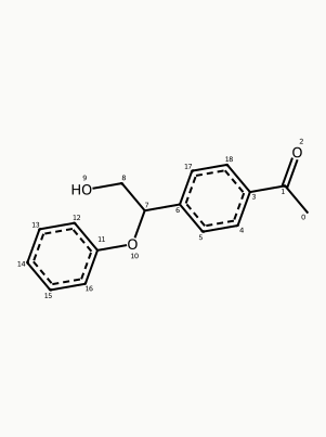 CC(=O)c1ccc(C(CO)Oc2ccccc2)cc1